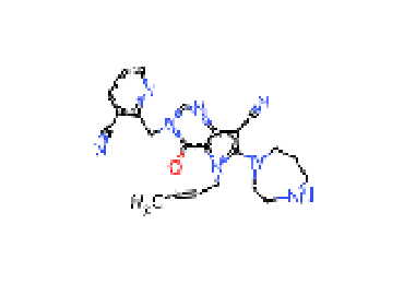 CC#CCn1c(N2CCCNCC2)c(C#N)c2ncn(Cc3ncccc3C#N)c(=O)c21